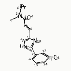 CC(C)N(C)C(=O)/C=C/c1n[nH]c(-c2cccc(Cl)c2)n1